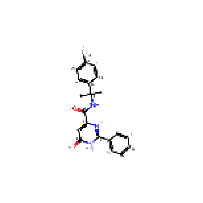 CC(C)(NC(=O)c1cc(=O)[nH]c(-c2ccccc2)n1)c1ccc(C(F)(F)F)cc1